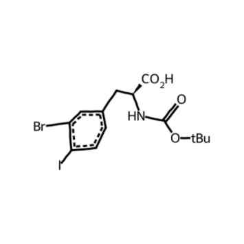 CC(C)(C)OC(=O)N[C@@H](Cc1ccc(I)c(Br)c1)C(=O)O